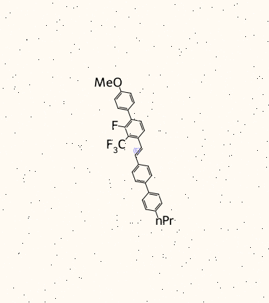 CCCc1ccc(-c2ccc(/C=C/c3ccc(-c4ccc(OC)cc4)c(F)c3C(F)(F)F)cc2)cc1